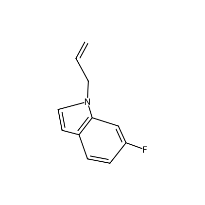 C=CCn1ccc2ccc(F)cc21